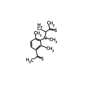 CC(=S)c1ccc(C)c(N(C)C(C)C(C)=S)c1C